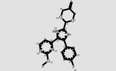 C=C1COC(c2nc(-c3ccc(F)cc3)c(-c3ccnc(OC)n3)[nH]2)OC1